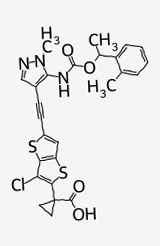 Cc1ccccc1C(C)OC(=O)Nc1c(C#Cc2cc3sc(C4(C(=O)O)CC4)c(Cl)c3s2)cnn1C